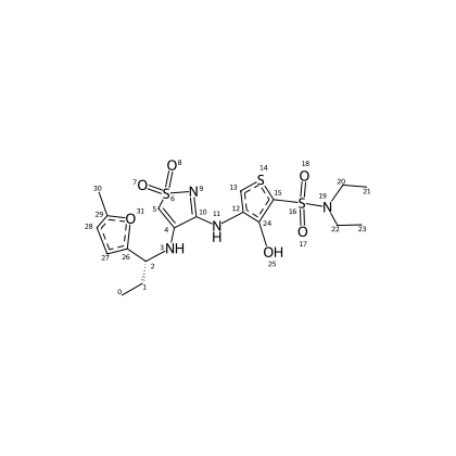 CC[C@@H](NC1=CS(=O)(=O)N=C1Nc1csc(S(=O)(=O)N(CC)CC)c1O)c1ccc(C)o1